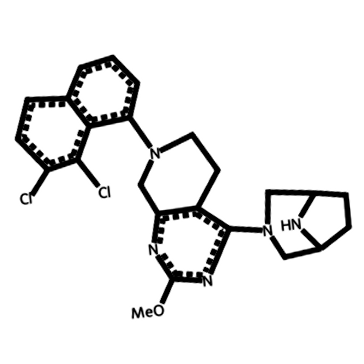 COc1nc2c(c(N3CC4CCC(C3)N4)n1)CCN(c1cccc3ccc(Cl)c(Cl)c13)C2